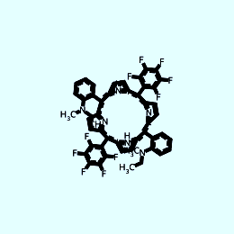 CCN(C)c1ccccc1-c1c2nc(c(-c3c(F)c(F)c(F)c(F)c3F)c3ccc([nH]3)c(-c3ccccc3N(C)CC)c3nc(c(-c4c(F)c(F)c(F)c(F)c4F)c4ccc1[nH]4)C=C3)C=C2